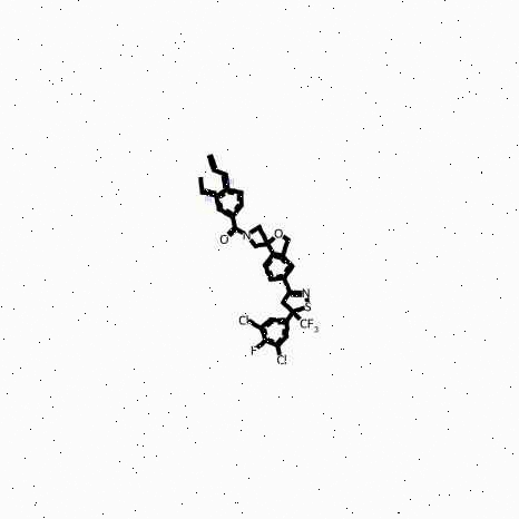 C=C/C=c1/ccc(C(=O)N2CC3(C2)OCc2cc(C4=NSC(c5cc(Cl)c(F)c(Cl)c5)(C(F)(F)F)C4)ccc23)c/c1=C/C